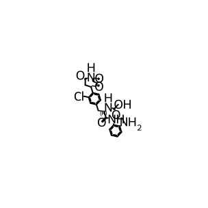 Nc1ccccc1NC(=O)[C@@H](Cc1ccc(C2CC(=O)NS2(=O)=O)c(Cl)c1)NC(=O)O